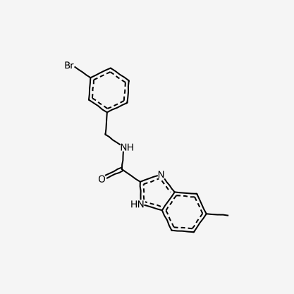 Cc1ccc2[nH]c(C(=O)NCc3cccc(Br)c3)nc2c1